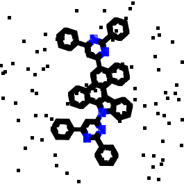 c1ccc(-c2cc(-c3cc4c5ccccc5c5c(c6ccccc6n5-c5cc(-c6ccccc6)nc(-c6ccccc6)n5)c4c4ccccc34)nc(-c3ccccc3)n2)cc1